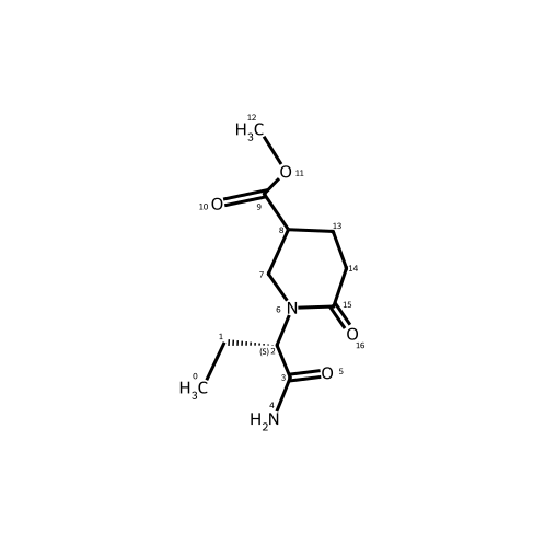 CC[C@@H](C(N)=O)N1CC(C(=O)OC)CCC1=O